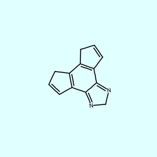 C1=Cc2c(c3c(c4c2=NCN=4)C=CC3)C1